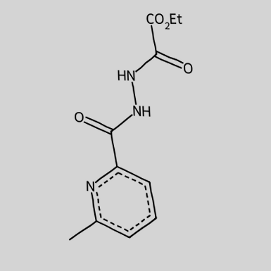 CCOC(=O)C(=O)NNC(=O)c1cccc(C)n1